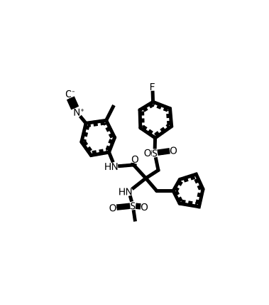 [C-]#[N+]c1ccc(NC(=O)C(Cc2ccccc2)(CS(=O)(=O)c2ccc(F)cc2)NS(C)(=O)=O)cc1C